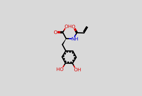 C=CC(=O)N[C@@H](Cc1ccc(O)c(O)c1)C(=O)O